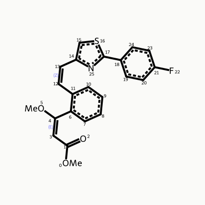 COC(=O)/C=C(/OC)c1ccccc1/C=C\c1csc(-c2ccc(F)cc2)n1